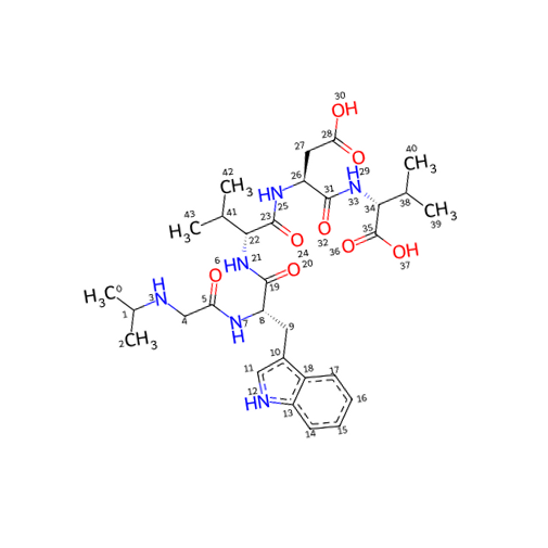 CC(C)NCC(=O)N[C@@H](Cc1c[nH]c2ccccc12)C(=O)N[C@@H](C(=O)N[C@@H](CC(=O)O)C(=O)N[C@@H](C(=O)O)C(C)C)C(C)C